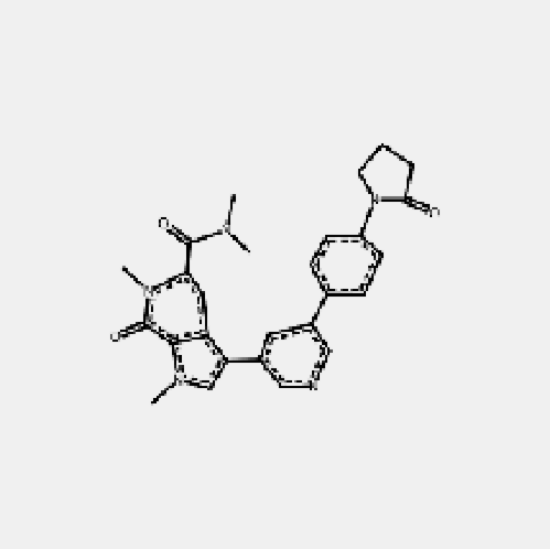 CN(C)C(=O)c1cc2c(-c3cncc(-c4ccc(N5CCCC5=O)cc4)c3)cn(C)c2c(=O)n1C